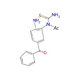 CC(=O)N(C(N)=S)c1cc(C(=O)c2ccccc2)ccc1N